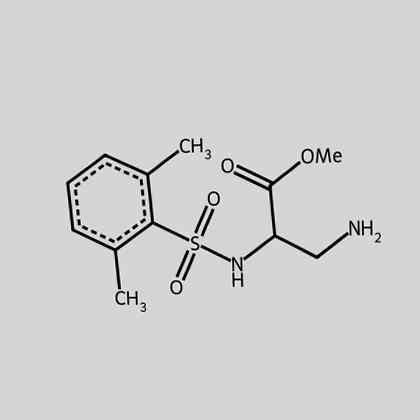 COC(=O)C(CN)NS(=O)(=O)c1c(C)cccc1C